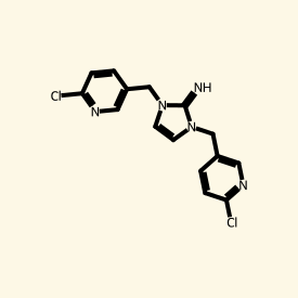 N=c1n(Cc2ccc(Cl)nc2)ccn1Cc1ccc(Cl)nc1